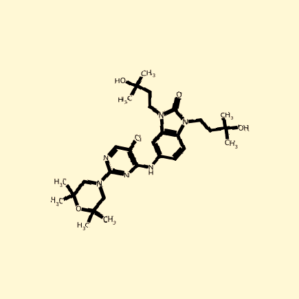 CC(C)(O)CCn1c(=O)n(CCC(C)(C)O)c2cc(Nc3nc(N4CC(C)(C)OC(C)(C)C4)ncc3Cl)ccc21